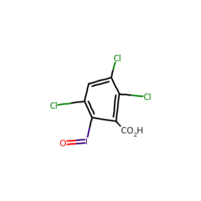 O=Ic1c(Cl)cc(Cl)c(Cl)c1C(=O)O